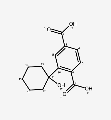 O=C(O)c1ccc(C(=O)O)c(C2(O)CCCCC2)c1